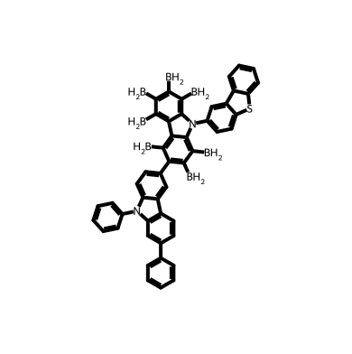 Bc1c(B)c(B)c2c(c1B)c1c(B)c(-c3ccc4c(c3)c3ccc(-c5ccccc5)cc3n4-c3ccccc3)c(B)c(B)c1n2-c1ccc2sc3ccccc3c2c1